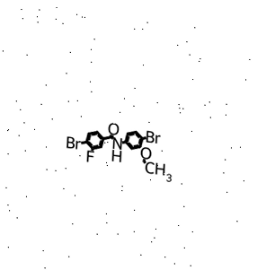 CCOc1cc(NC(=O)c2ccc(Br)c(F)c2)ccc1Br